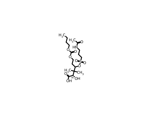 CCCCOC(=O)OCCC(OS(=O)(=O)CCCNC(C)=O)C(C)(C)[C@@H](O)C(=O)O